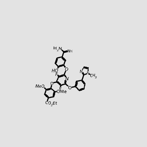 CCOC(=O)c1cc(OC)c(Oc2c(F)c(Oc3cccc(-c4nccn4C)c3)nc(Oc3cc(C(=N)N)ccc3O)c2F)c(OC)c1